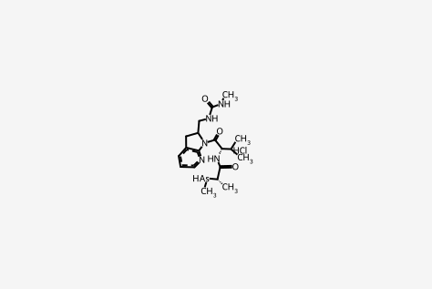 CNC(=O)NCC1Cc2cccnc2N1C(=O)[C@@H](NC(=O)[C@H](C)[AsH]C)C(C)C.Cl